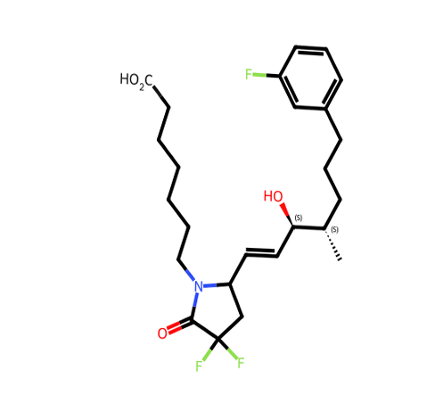 C[C@@H](CCCc1cccc(F)c1)[C@H](O)C=CC1CC(F)(F)C(=O)N1CCCCCCC(=O)O